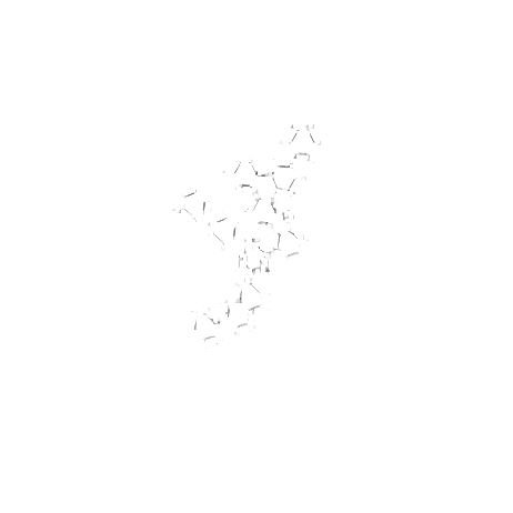 c1ccc(-c2ccc(-c3nc(-c4ccc5ccc(-c6ccccc6)cc5c4)nc(-c4cccc5oc6c(-c7ccc(-c8ccccc8)cc7-c7ccccc7)cccc6c45)n3)cc2)cc1